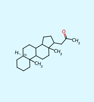 CC(=O)CC1CCC2C3CC[C@@H]4CCCCC4(C)C3CCC12C